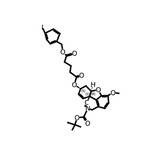 COc1ccc2c3c1O[C@@H]1C[C@H](OC(=O)CCCC(=O)OCc4ccc(I)cc4)C=C[C@@]31CCN(C(=O)OC(C)(C)C)C2